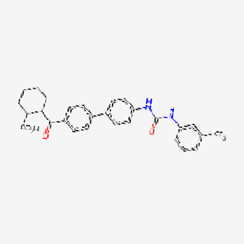 O=C(Nc1ccc(-c2ccc(C(=O)C3CCCCC3C(=O)O)cc2)cc1)Nc1cccc(C(F)(F)F)c1